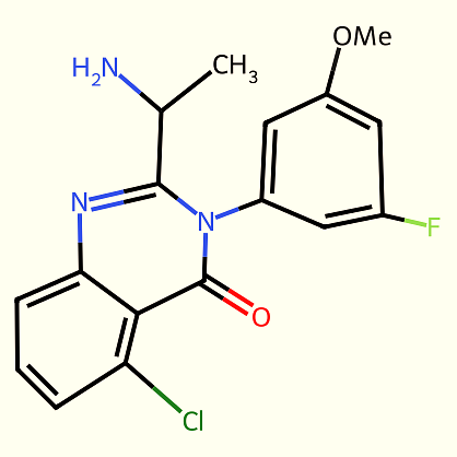 COc1cc(F)cc(-n2c(C(C)N)nc3cccc(Cl)c3c2=O)c1